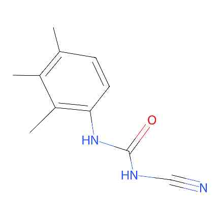 Cc1ccc(NC(=O)NC#N)c(C)c1C